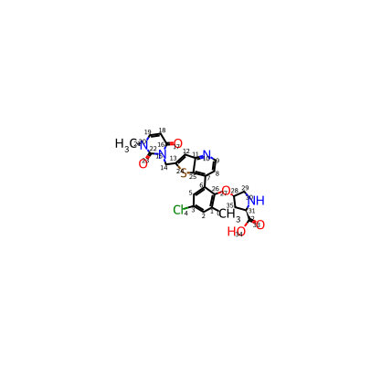 Cc1cc(Cl)cc(-c2ccnc3cc(Cn4c(=O)ccn(C)c4=O)sc23)c1O[C@H]1CN[C@@H](C(=O)O)C1